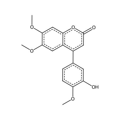 COc1ccc(-c2cc(=O)oc3cc(OC)c(OC)cc23)cc1O